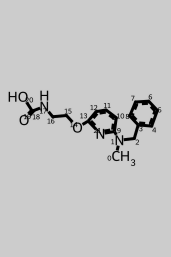 CN(Cc1ccccc1)c1cccc(OCCNC(=O)O)n1